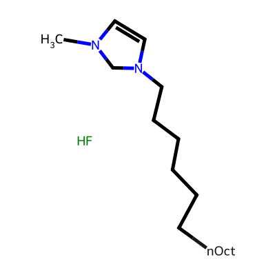 CCCCCCCCCCCCCCN1C=CN(C)C1.F